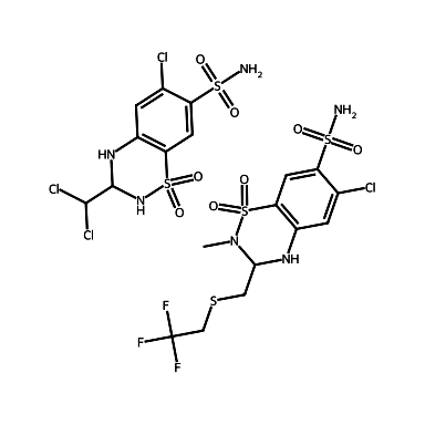 CN1C(CSCC(F)(F)F)Nc2cc(Cl)c(S(N)(=O)=O)cc2S1(=O)=O.NS(=O)(=O)c1cc2c(cc1Cl)NC(C(Cl)Cl)NS2(=O)=O